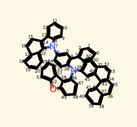 c1ccc(-c2cc(-n3c4ccccc4c4ccc5ccccc5c43)ccc2N(c2ccc3ccc4ccc5ccccc5c4c3c2)c2cccc3oc4ccccc4c23)cc1